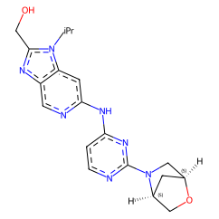 CC(C)n1c(CO)nc2cnc(Nc3ccnc(N4C[C@@H]5C[C@H]4CO5)n3)cc21